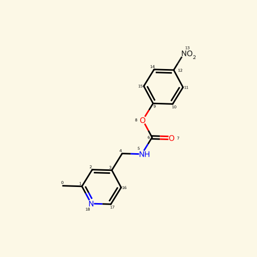 Cc1cc(CNC(=O)Oc2ccc([N+](=O)[O-])cc2)ccn1